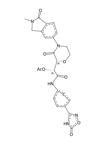 CC(=O)O[C@@H](C(=O)Nc1ccc(-c2noc(=O)[nH]2)cc1)[C@H]1OCCN(c2ccc3c(c2)CN(C)C3=O)C1=O